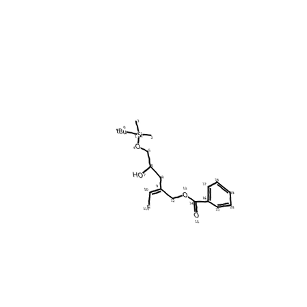 CC(C)(C)[Si](C)(C)OCC(O)C/C(=C/F)COC(=O)c1ccccc1